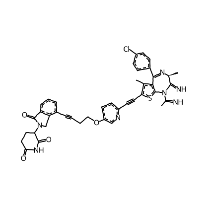 CC(=N)N1C(=N)[C@H](C)N=C(c2ccc(Cl)cc2)c2c1sc(C#Cc1ccc(OCCC#Cc3cccc4c3CN(C3CCC(=O)NC3=O)C4=O)cn1)c2C